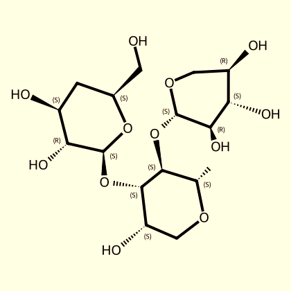 C[C@@H]1OC[C@H](O)[C@H](O[C@@H]2O[C@H](CO)C[C@H](O)[C@H]2O)[C@H]1O[C@@H]1OC[C@@H](O)[C@H](O)[C@H]1O